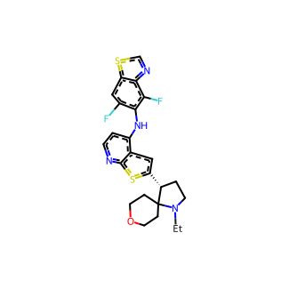 CCN1CC[C@@H](c2cc3c(Nc4c(F)cc5scnc5c4F)ccnc3s2)C12CCOCC2